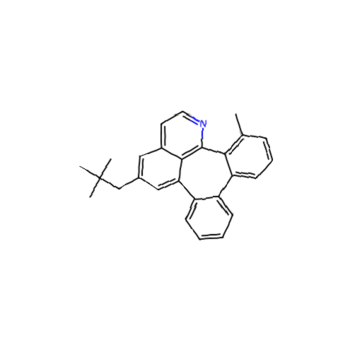 Cc1cccc2c1-c1nccc3cc(CC(C)(C)C)cc(c13)-c1ccccc1-2